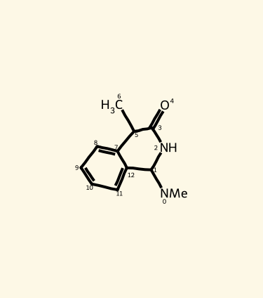 CNC1NC(=O)C(C)c2ccccc21